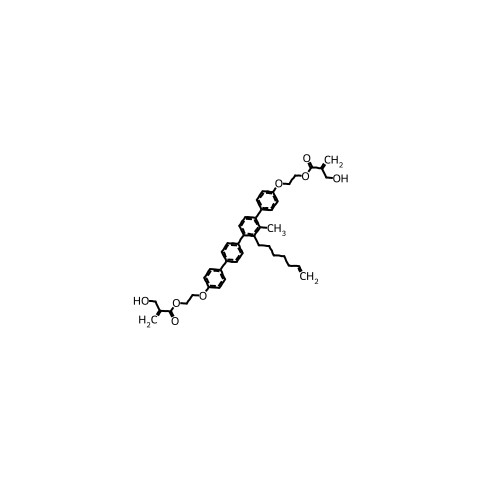 C=CCCCCCc1c(-c2ccc(-c3ccc(OCCOC(=O)C(=C)CO)cc3)cc2)ccc(-c2ccc(OCCOC(=O)C(=C)CO)cc2)c1C